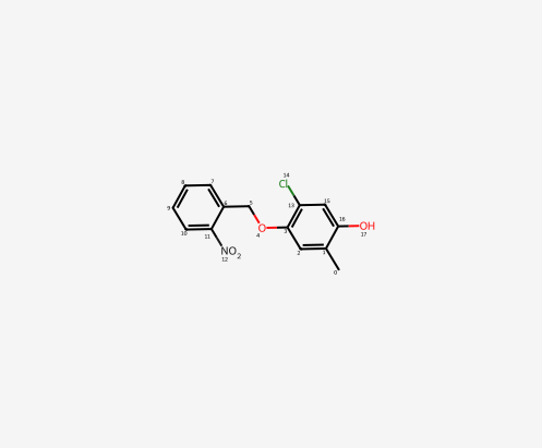 Cc1cc(OCc2ccccc2[N+](=O)[O-])c(Cl)cc1O